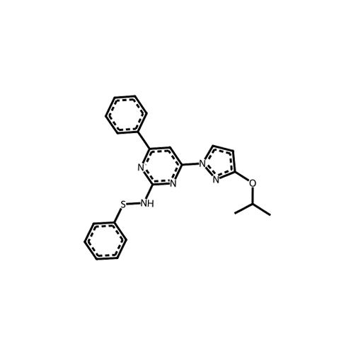 CC(C)Oc1ccn(-c2cc(-c3ccccc3)nc(NSc3ccccc3)n2)n1